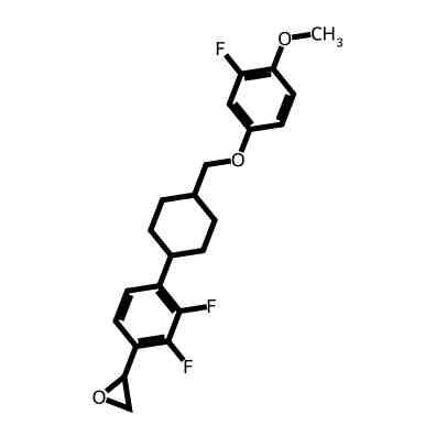 COc1ccc(OCC2CCC(c3ccc(C4CO4)c(F)c3F)CC2)cc1F